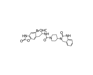 O=CC(Cc1cc2oc(=O)[nH]c2cc1Br)NC(=O)N1CCC(N2Cc3ccccc3NC2=O)CC1